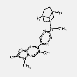 CN(c1ncc(-c2cc3oc(=O)n(C)c3cc2O)nn1)C1C[C@H]2CC[C@@H](C1)N2